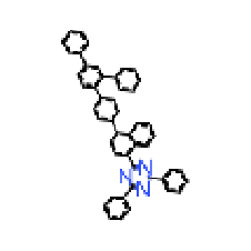 c1ccc(-c2ccc(-c3ccc(-c4ccc(-c5nc(-c6ccccc6)nc(-c6ccccc6)n5)c5ccccc45)cc3)c(-c3ccccc3)c2)cc1